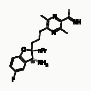 CCCC1(CCCc2nc(C)c(C(C)=N)nc2C)Oc2ccc(F)cc2[C@H]1N